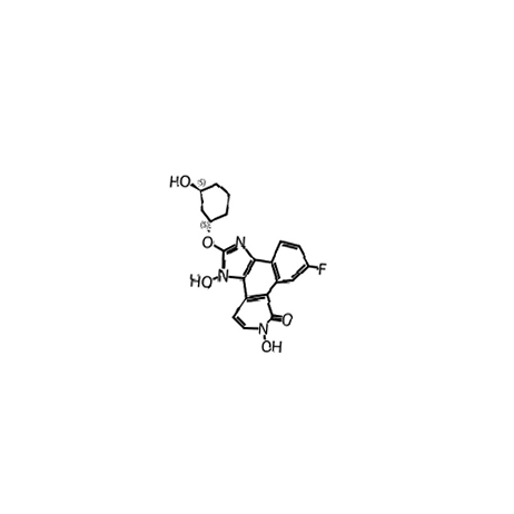 O=c1c2c3cc(F)ccc3c3nc(O[C@H]4CCC[C@H](O)C4)n(O)c3c2ccn1O